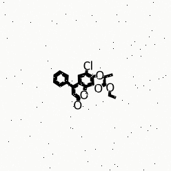 CCOC(=O)C(C)Oc1cc2oc(=O)cc(-c3ccccc3)c2cc1Cl